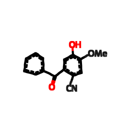 COc1cc(C#N)c(C(=O)c2ccccc2)cc1O